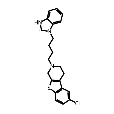 Clc1ccc2sc3c(c2c1)CCN(CCCCN1[CH]Nc2ccccc21)C3